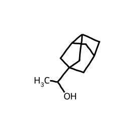 CC(O)C12CC3CC(C1)C(C3)C2